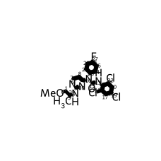 COCC(C)Nc1nccc(N(C(=O)Nc2c(Cl)cc(Cl)cc2Cl)c2ccc(F)cc2)n1